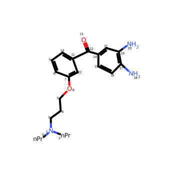 CCCN(CCC)CCCOc1cccc(C(=O)c2ccc(N)c(N)c2)c1